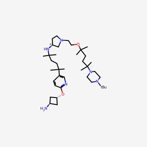 CC(C)(CCC(C)(C)c1ccc(O[C@H]2C[C@H](N)C2)nc1)N[C@H]1CCN(CCOC(C)(C)CCC(C)(C)N2CCN(C(C)(C)C)CC2)C1